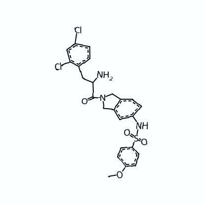 COc1ccc(S(=O)(=O)Nc2ccc3c(c2)CN(C(=O)C(N)Cc2ccc(Cl)cc2Cl)C3)cc1